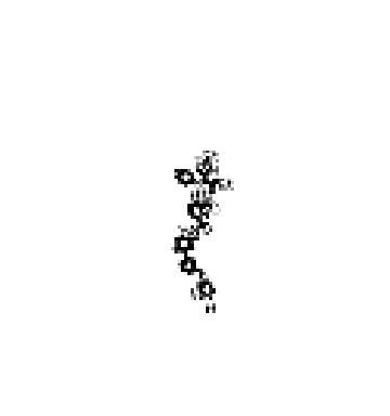 CCc1nc2c(cnn2CC)c(NC2CCOCC2)c1CNC(=O)c1cccc(C(=O)NCc2ccc(C)c(-c3cccc(CN4C[C@@H]5CC4CN5)c3)c2)n1